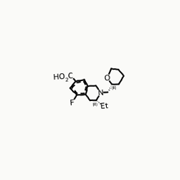 CC[C@@H]1Cc2c(F)cc(C(=O)O)cc2CN1C[C@H]1CCCCO1